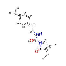 CCC1=C(C)CN(C(=O)NCCc2ccc(C(C)C)cc2)C1=O